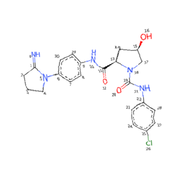 N=C1CCCN1c1ccc(NC(=O)[C@H]2C[C@@H](O)CN2C(=O)Nc2ccc(Cl)cc2)cc1